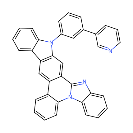 c1cncc(-c2cccc(-n3c4ccccc4c4cc5c6ccccc6n6c7ccccc7nc6c5cc43)c2)c1